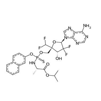 CC(C)OC(=O)[C@H](C)NP(=S)(OC[C@@]1(C(F)F)O[C@@H](n2cnc3c(N)ncnc32)C(F)(F)[C@@H]1O)Oc1ccc2ccccc2c1